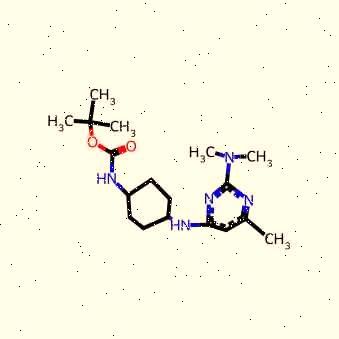 Cc1cc(NC2CCC(NC(=O)OC(C)(C)C)CC2)nc(N(C)C)n1